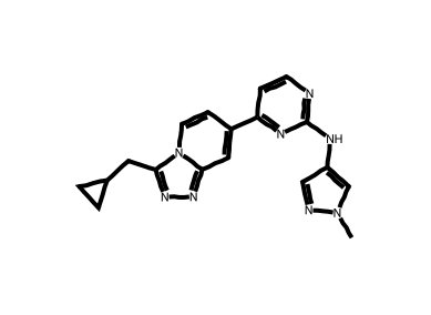 Cn1cc(Nc2nccc(-c3ccn4c(CC5CC5)nnc4c3)n2)cn1